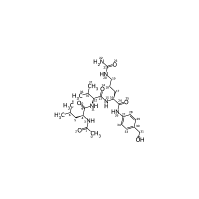 CC(=O)N[C@@H](CC(C)C)C(=O)N[C@H](C(=O)N[C@@H](CCCNC(N)=O)C(=O)Nc1ccc(CO)cc1)C(C)C